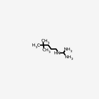 CC(C)(C)CCCNC(N)N